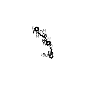 CC(C)(C)C([C@H]1CCCN1CCCCOc1ccc2c(Nc3cc(CC(=O)Nc4cccc(F)c4F)[nH]n3)ncnc2c1)C(C)(C)C